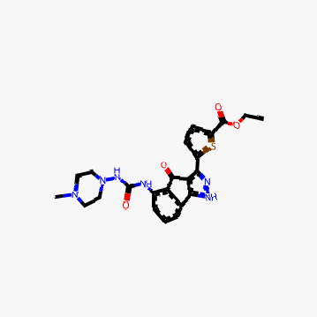 CCOC(=O)c1ccc(-c2n[nH]c3c2C(=O)c2c(NC(=O)NN4CCN(C)CC4)cccc2-3)s1